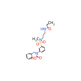 C=CC(=O)NCCCN(C)S(=O)(=O)c1cccc(N(Cc2ccccc2)C(=O)O)c1